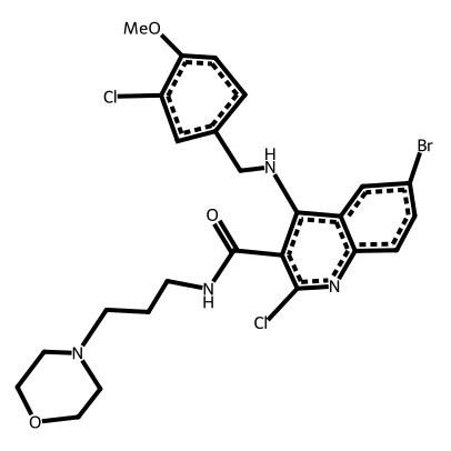 COc1ccc(CNc2c(C(=O)NCCCN3CCOCC3)c(Cl)nc3ccc(Br)cc23)cc1Cl